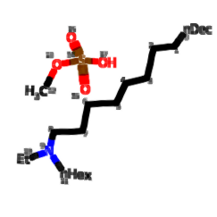 CCCCCCCCCCCCCCCCCCN(CC)CCCCCC.COS(=O)(=O)O